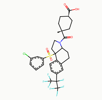 C[C@]1(C(=O)N2CCC3(S(=O)(=O)c4cccc(Cl)c4)c4ccc(C(F)(C(F)(F)F)C(F)(F)F)cc4CCC23)CC[C@H](C(=O)O)CC1